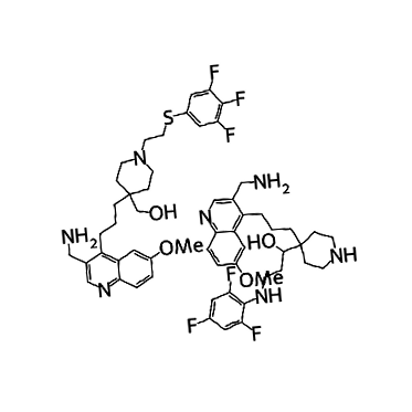 COc1ccc2ncc(CN)c(CCCC3(C(O)CCNc4c(F)cc(F)cc4F)CCNCC3)c2c1.COc1ccc2ncc(CN)c(CCCC3(CO)CCN(CCSc4cc(F)c(F)c(F)c4)CC3)c2c1